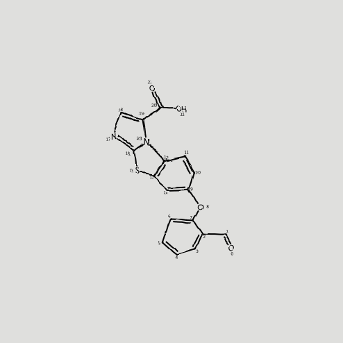 O=Cc1ccccc1Oc1ccc2c(c1)sc1ncc(C(=O)O)n12